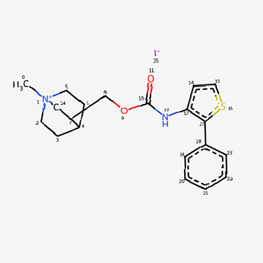 C[N+]12CCC(CC1)C(COC(=O)Nc1ccsc1-c1ccccc1)C2.[I-]